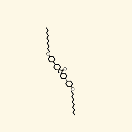 CCCCCCCCCCOC1CCC(C2CC[C@]3(CC2)C[C@@]2(CC[C@H](C4CCC(OCCCCCCCCCC)CC4)CC2)C3=O)CC1